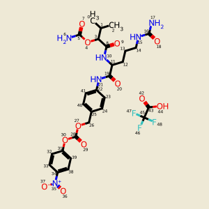 CC(C)C(OC(N)=O)C(=O)NC(CCCNC(N)=O)C(=O)Nc1ccc(COC(=O)Oc2ccc([N+](=O)[O-])cc2)cc1.O=C(O)C(F)(F)F